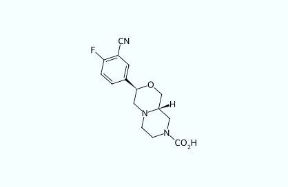 N#Cc1cc([C@@H]2CN3CCN(C(=O)O)C[C@H]3CO2)ccc1F